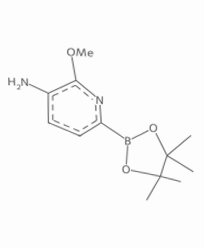 COc1nc(B2OC(C)(C)C(C)(C)O2)ccc1N